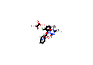 CCn1c(C)nc(=O)n(C[C@H](O)CN2C3CCC2CC(OCc2ccccc2CF)C3)c1=O.O=C(O)C(=O)O